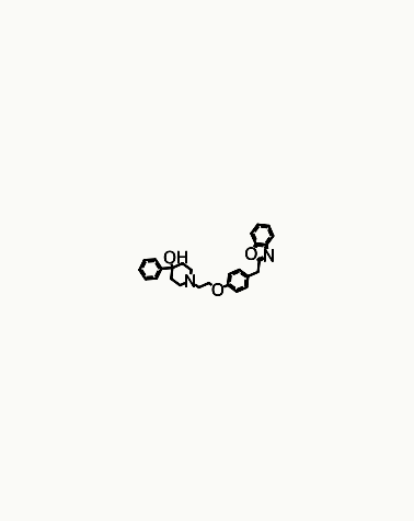 OC1(c2ccccc2)CCN(CCOc2ccc(Cc3nc4ccccc4o3)cc2)CC1